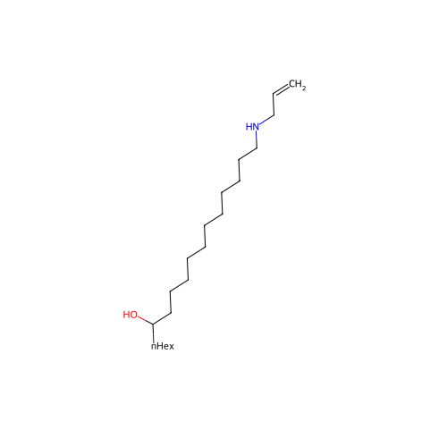 C=CCNCCCCCCCCCCCC(O)CCCCCC